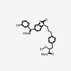 CCOC(Cc1ccc(OCCn2c(=O)sc3cc(C(=NO)c4cccc(Cl)c4)ccc32)cc1)C(=O)OC